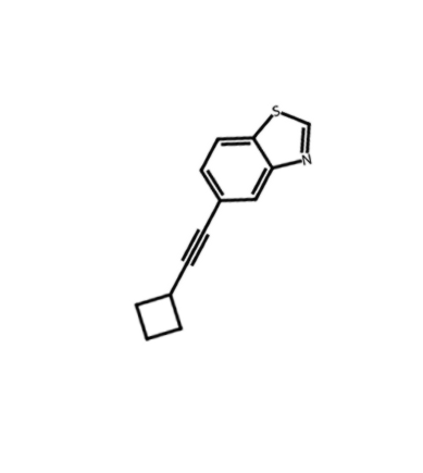 C(#CC1CCC1)c1ccc2scnc2c1